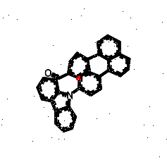 O=Cc1ccc(-c2cccc3cccc(-c4ccc(-n5c6ccccc6c6ccccc65)cc4)c23)cc1